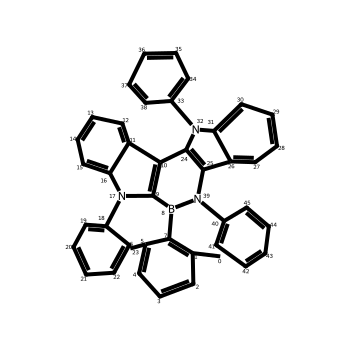 Cc1cccc(C)c1B1c2c(c3ccccc3n2-c2ccccc2)-c2c(c3ccccc3n2-c2ccccc2)N1c1ccccc1